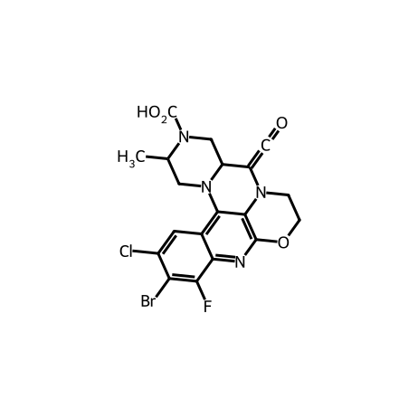 CC1CN2c3c4c(nc5c(F)c(Br)c(Cl)cc35)OCCN4C(=C=O)C2CN1C(=O)O